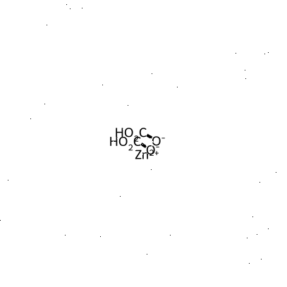 O=C([O-])O.O=C([O-])O.[Zn+2]